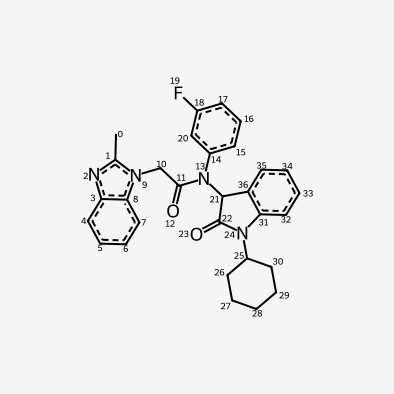 Cc1nc2ccccc2n1CC(=O)N(c1cccc(F)c1)C1C(=O)N(C2CCCCC2)c2ccccc21